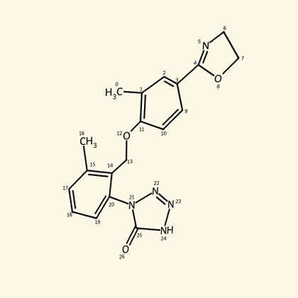 Cc1cc(C2=NCCO2)ccc1OCc1c(C)cccc1-n1nn[nH]c1=O